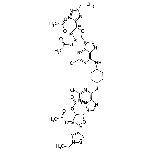 CCn1nnc([C@H]2OC(n3cnc4c(N[C@H]5CC[C@H](Cc6nc(Cl)nc7c6ncn7C6O[C@H](c7nnn(CC)n7)[C@@H](OC(C)=O)C6OC(C)=O)CC5)nc(Cl)nc43)[C@H](OC(C)=O)[C@@H]2OC(C)=O)n1